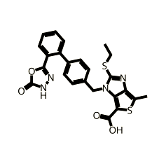 CCSc1nc2c(C)sc(C(=O)O)c2n1Cc1ccc(-c2ccccc2-c2n[nH]c(=O)o2)cc1